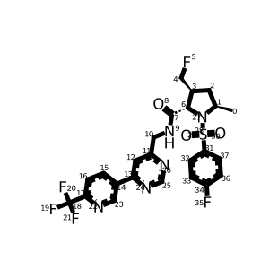 C[C@@H]1C[C@H](CF)[C@@H](C(=O)NCc2cc(-c3ccc(C(F)(F)F)nc3)ncn2)N1S(=O)(=O)c1ccc(F)cc1